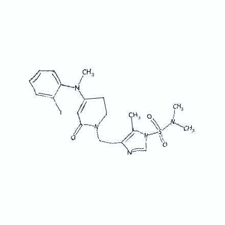 Cc1c(CN2CCC(N(C)c3ccccc3I)=CC2=O)ncn1S(=O)(=O)N(C)C